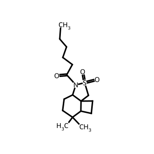 CCCCCC(=O)N1C2CCC(C)(C)C3CCC23CS1(=O)=O